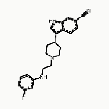 N#Cc1ccc2c(C3CCN(CCNc4cccc(F)c4)CC3)c[nH]c2c1